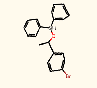 CC(O[SiH](c1ccccc1)c1ccccc1)c1ccc(Br)cc1